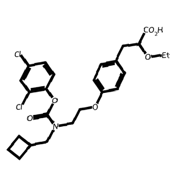 CCOC(Cc1ccc(OCCN(CC2CCC2)C(=O)Oc2ccc(Cl)cc2Cl)cc1)C(=O)O